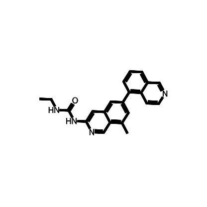 CCNC(=O)Nc1cc2cc(-c3cccc4cnccc34)cc(C)c2cn1